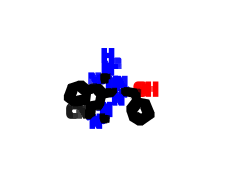 N#Cc1cccc(-c2nc(N)n3nc([C@@H](O)c4ccccc4)nc3c2-c2ccncn2)c1